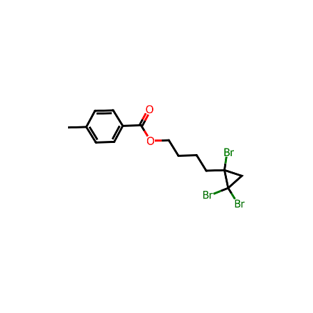 Cc1ccc(C(=O)OCCCCC2(Br)CC2(Br)Br)cc1